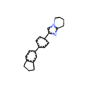 c1cc(-c2cn3c(n2)CCCC3)ccc1-c1ccc2c(c1)CCC2